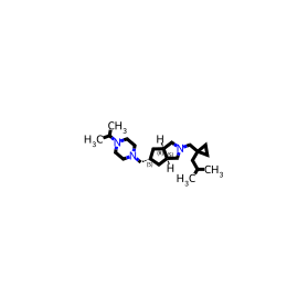 CC(C)CC1(CN2C[C@H]3C[C@H](CN4CCN(C(C)C)CC4)C[C@H]3C2)CC1